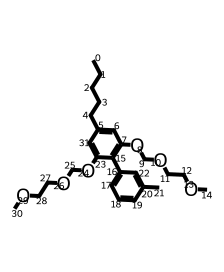 CCCCCc1cc(OCOCCOC)c(-c2cccc(C)c2)c(OCOCCOC)c1